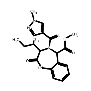 CCC(C)C1C(=O)Nc2ccccc2C(C(=O)OC)N1C(=O)c1cnn(C)c1